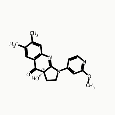 COc1cc(N2CC[C@@]3(O)C(=O)c4cc(C)c(C)cc4N=C23)ccn1